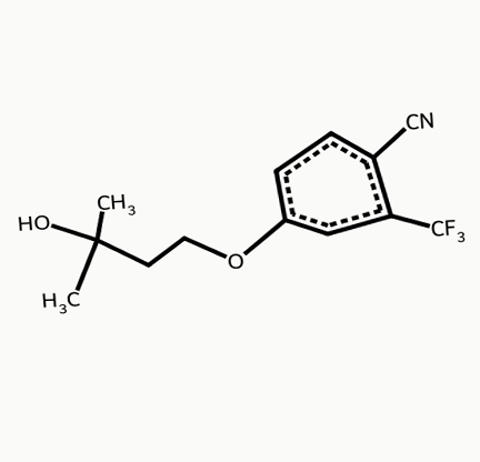 CC(C)(O)CCOc1ccc(C#N)c(C(F)(F)F)c1